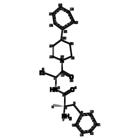 CCC(NC(=O)[C@](C)(N)Cc1ccccc1)C(=O)N1CCC(c2ccccc2)CC1